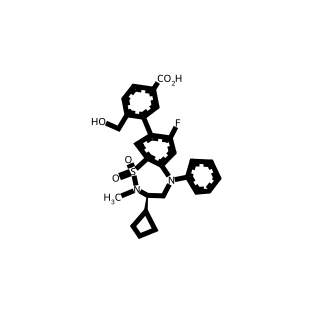 CN1[C@H](C2CCC2)CN(c2ccccc2)c2cc(F)c(-c3cc(C(=O)O)ccc3CO)cc2S1(=O)=O